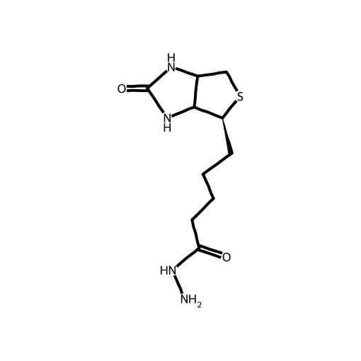 NNC(=O)CCCC[C@@H]1SCC2NC(=O)NC21